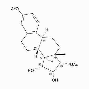 CC(=O)Oc1ccc2c(c1)CC[C@H]1[C@@H]3[C@@H](O)[C@@H](O)[C@@H](OC(C)=O)[C@@]3(C)CC[C@H]21